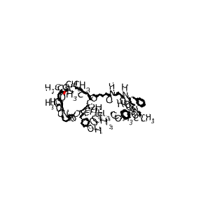 COc1ccc(S(=O)(=O)N(CC(C)C)C[C@H](O)[C@@H](Cc2ccccc2)NC(=O)CCNC(=O)CC/C=C/C[C@@H]2/C=C(\C)C[C@H](C)C[C@H](OC)[C@H]3O[C@@](O)(C(=O)C(=O)N4CCCC[C@H]4C(=O)O[C@H](/C(C)=C/[C@@H]4CC[C@@H](O)[C@H](OC)C4)[C@H](C)[C@@H](O)CC2=O)[C@H](C)C[C@@H]3OC)cc1